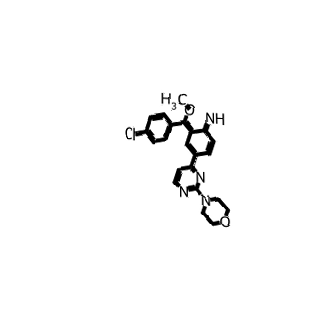 CO/C(=C1/C=C(c2ccnc(N3CCOCC3)n2)C=CC1=N)c1ccc(Cl)cc1